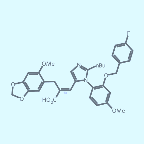 CCCCc1ncc(/C=C(\Cc2cc3c(cc2OC)OCO3)C(=O)O)n1-c1ccc(OC)cc1OCc1ccc(F)cc1